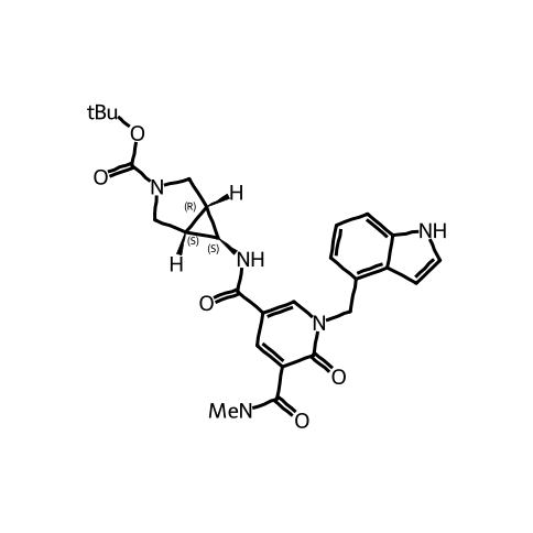 CNC(=O)c1cc(C(=O)N[C@H]2[C@@H]3CN(C(=O)OC(C)(C)C)C[C@@H]32)cn(Cc2cccc3[nH]ccc23)c1=O